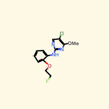 COc1nc(Nc2cc[c]cc2OCCF)ncc1Cl